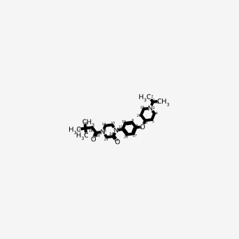 CC(C)N1CCC(Oc2ccc(N3CCN(C(=O)CC(C)(C)C)CC3=O)cc2)CC1